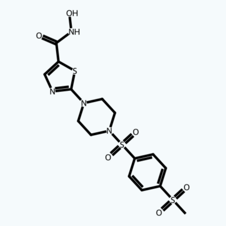 CS(=O)(=O)c1ccc(S(=O)(=O)N2CCN(c3ncc(C(=O)NO)s3)CC2)cc1